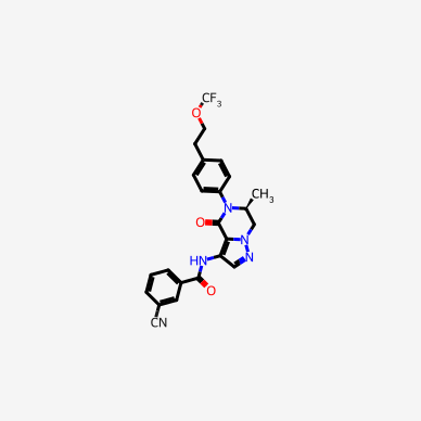 C[C@H]1Cn2ncc(NC(=O)c3cccc(C#N)c3)c2C(=O)N1c1ccc(CCOC(F)(F)F)cc1